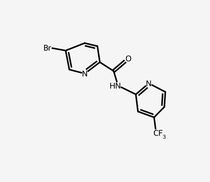 O=C(Nc1cc(C(F)(F)F)ccn1)c1ccc(Br)cn1